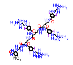 N=C(N)NCCNc1c(I)cc(C(=O)NCCCC[C@H](NC(=O)c2cc(I)c(NCCNC(=N)N)c(I)c2)C(=O)NCCCC[C@H](NC(=O)c2cc(I)c(NCCNC(=N)N)c(I)c2)C(=O)NCCCC[C@H](NC(=O)c2cc(I)c(NCCNC(=N)N)c(I)c2)C(=O)NCCNc2ccc([N+](=O)[O-])c3nonc23)cc1I